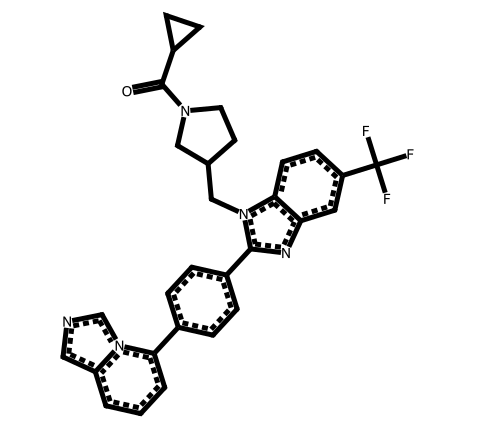 O=C(C1CC1)N1CCC(Cn2c(-c3ccc(-c4cccc5cncn45)cc3)nc3cc(C(F)(F)F)ccc32)C1